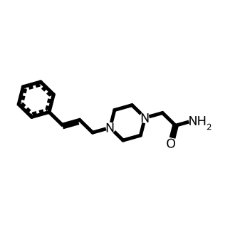 NC(=O)CN1CCN(CC=Cc2ccccc2)CC1